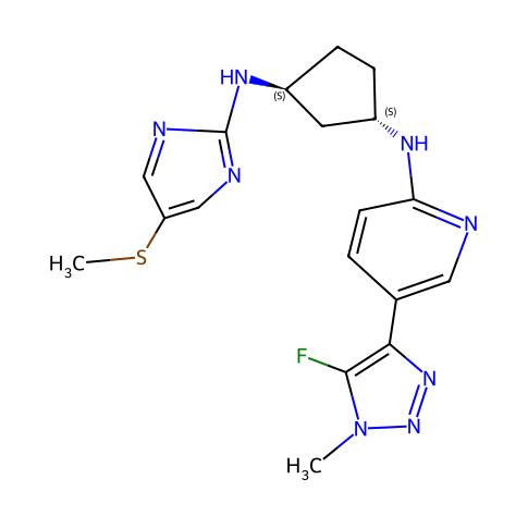 CSc1cnc(N[C@H]2CC[C@H](Nc3ccc(-c4nnn(C)c4F)cn3)C2)nc1